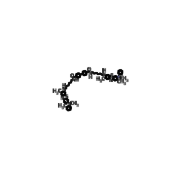 CC1=CC2=Nc3cc(C)c(NCCCCCCNC(=O)c4ccc(-c5ccc(C(=O)NCCCCCCNc6cc7sc8c/c(=[N+](/C)c9ccccc9)c(C)cc-8nc7cc6C)cc5)cc4)cc3SC2=CC1N(C)c1ccccc1